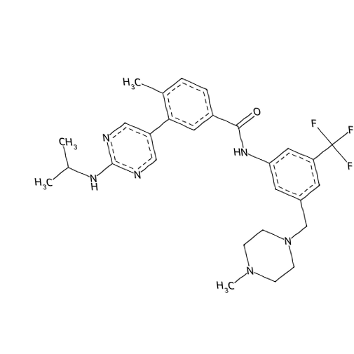 Cc1ccc(C(=O)Nc2cc(CN3CCN(C)CC3)cc(C(F)(F)F)c2)cc1-c1cnc(NC(C)C)nc1